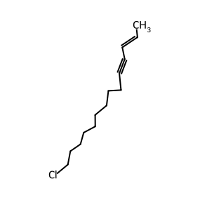 CC=CC#CCCCCCCCCCCl